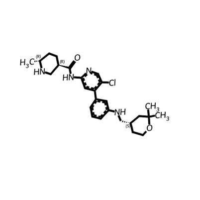 C[C@@H]1CC[C@@H](C(=O)Nc2cc(-c3cccc(NC[C@H]4CCOC(C)(C)C4)c3)c(Cl)cn2)CN1